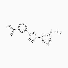 COc1cccc(C2OON(c3cccc(C(=O)O)c3)O2)c1